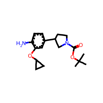 CC(C)(C)OC(=O)N1CCC(c2ccc(N)c(OC3CC3)c2)C1